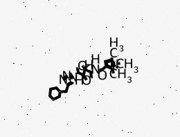 Cc1cc(C(=O)N[C@H]2CO[C@H]3[C@@H]2OC[C@@H]3n2cc(CC3CCCCC3)nn2)c(C)n1C